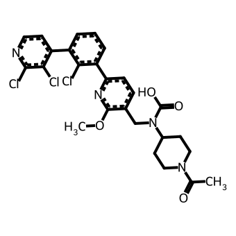 COc1nc(-c2cccc(-c3ccnc(Cl)c3Cl)c2Cl)ccc1CN(C(=O)O)C1CCN(C(C)=O)CC1